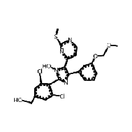 COCOc1cccc(-c2nc(-c3c(Cl)cc(CO)cc3Cl)n(O)c2-c2ccnc(SC)n2)c1